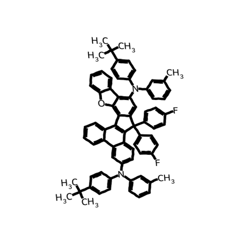 Cc1cccc(N(c2ccc(C(C)(C)C)cc2)c2ccc3c4c(c5ccccc5c3c2)-c2c(cc(N(c3ccc(C(C)(C)C)cc3)c3cccc(C)c3)c3c2oc2ccccc23)C4(c2ccc(F)cc2)c2ccc(F)cc2)c1